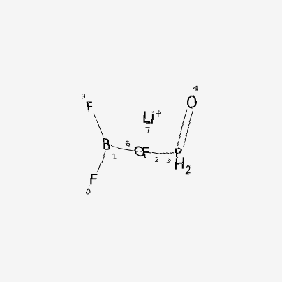 FB(F)F.O=[PH2][O-].[Li+]